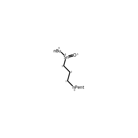 CCCCCCC[CH2][Sn](=[O])[CH2]CCC